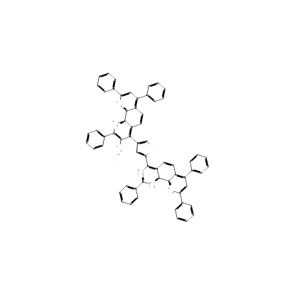 [C-]#[N+]c1c(-c2ccccc2)nc2c(ccc3c(-c4ccccc4)cc(-c4ccccc4)nc32)c1-c1csc(-c2nc(-c3ccccc3)nc3c2ccc2c(-c4ccccc4)cc(-c4ccccc4)nc23)c1